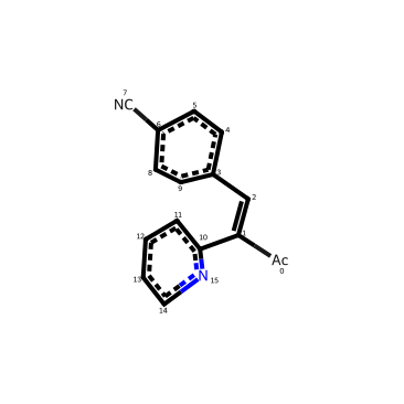 CC(=O)/C(=C/c1ccc(C#N)cc1)c1ccccn1